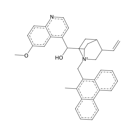 C=CC1C[N+]2(Cc3c(C)c4ccccc4c4ccccc34)CCC1CC2C(O)c1ccnc2ccc(OC)cc12